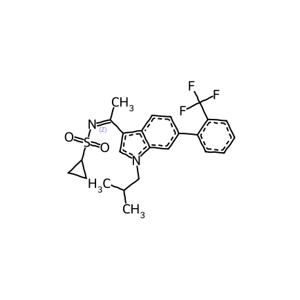 C/C(=N/S(=O)(=O)C1CC1)c1cn(CC(C)C)c2cc(-c3ccccc3C(F)(F)F)ccc12